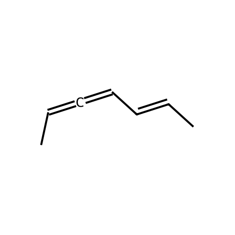 CC=C=CC=CC